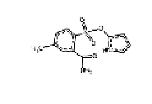 Cc1ccc(S(=O)(=O)Oc2ccc[nH]2)c(C(N)=O)c1